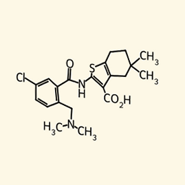 CN(C)Cc1ccc(Cl)cc1C(=O)Nc1sc2c(c1C(=O)O)CC(C)(C)CC2